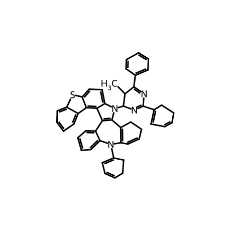 CC1C(c2ccccc2)=NC(C2=CC=CCC2)=NC1n1c2c(c3c4c(ccc31)sc1ccccc14)-c1ccccc1N(C1=CC=CCC1)C1=C2CCC=C1